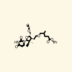 C#C[C@]1(C)[C@H](CCOCC(C)CCC(=O)OC(C)C)[C@@H](COP=O)O[C@H]1n1ccc(=O)[nH]c1=O